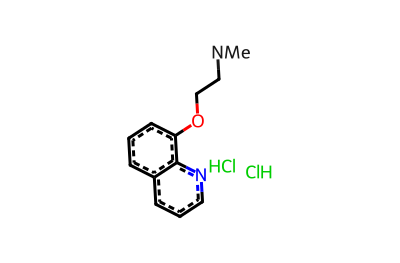 CNCCOc1cccc2cccnc12.Cl.Cl